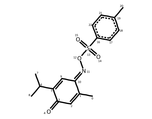 CC1=CC(=O)C(C(C)C)=C/C1=N\OS(=O)(=O)c1ccc(C)cc1